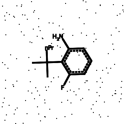 CCCC(C)(C)c1c(N)cccc1F